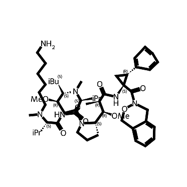 CC[C@H](C)[C@@H]([C@@H](CC(=O)N1CCC[C@H]1[C@H](OC)[C@@H](C)C(=O)N[C@@]1(C(=O)N2Cc3ccccc3CO2)C[C@@H]1c1ccccc1)OC)N(C)[C@H](C(=O)NC(=O)[C@H](C(C)C)N(C)CCCCCCN)C(C)C